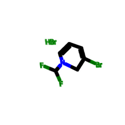 Br.FC(F)N1C=CC=C(Br)C1